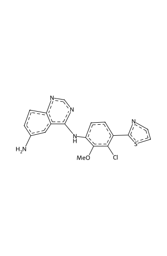 COc1c(Nc2ncnc3ccc(N)cc23)ccc(-c2nccs2)c1Cl